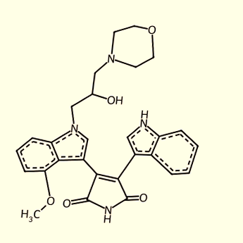 COc1cccc2c1c(C1=C(c3c[nH]c4ccccc34)C(=O)NC1=O)cn2CC(O)CN1CCOCC1